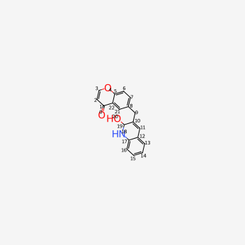 O=c1ccoc2ccc(CC3=Cc4ccccc4NC3O)cc12